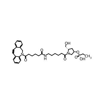 CCP(=O)(O)O[C@@H]1C[C@@H](CO)N(C(=O)CCCCCNC(=O)CCCCC(=O)N2Cc3ccccc3C#Cc3ccccc32)C1